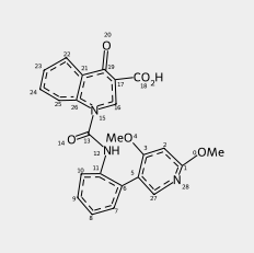 COc1cc(OC)c(-c2ccccc2NC(=O)n2cc(C(=O)O)c(=O)c3ccccc32)cn1